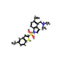 COc1ccc2c(ccn2S(=O)(=O)c2cc3cc(C)ccc3s2)c1CN(C)C